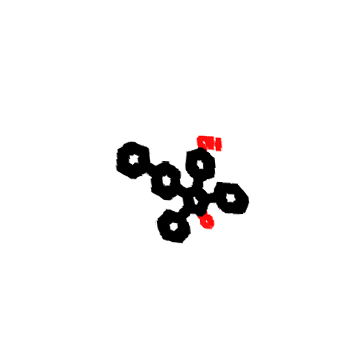 O=C1C(c2ccccc2)=C(c2ccc(O)cc2)C(c2ccc(-c3ccccc3)cc2)=C1c1ccccc1